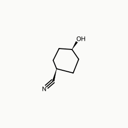 N#C[C@H]1CC[C@@H](O)CC1